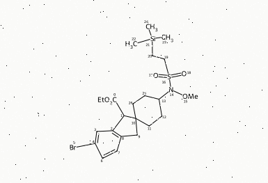 CCOC(=O)C1c2cc(Br)ccc2CC12CCC(N(OC)S(=O)(=O)CC[Si](C)(C)C)CC2